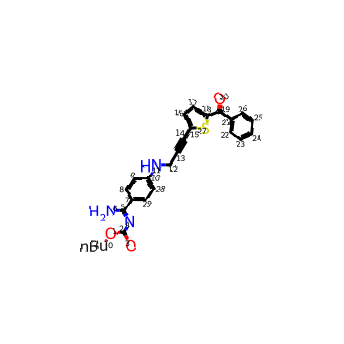 CCCCOC(=O)N=C(N)c1ccc(NCC#Cc2ccc(C(=O)c3ccccc3)s2)cc1